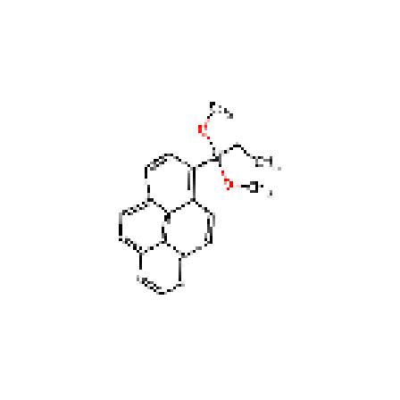 CC[Si](OC)(OC)c1ccc2ccc3cccc4ccc1c2c34